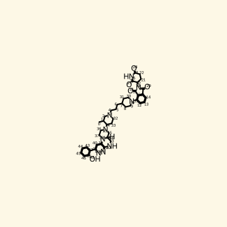 CC1CN(CCCC2CCN(c3cccc4c3C(=O)N(C3CCC(=O)NC3=O)C4=O)CC2)CCC1N1CCN2c3cc(-c4ccccc4O)nnc3NC[C@H]2C1